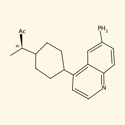 CC(=O)[C@H](C)C1CCC(c2ccnc3ccc(P)cc23)CC1